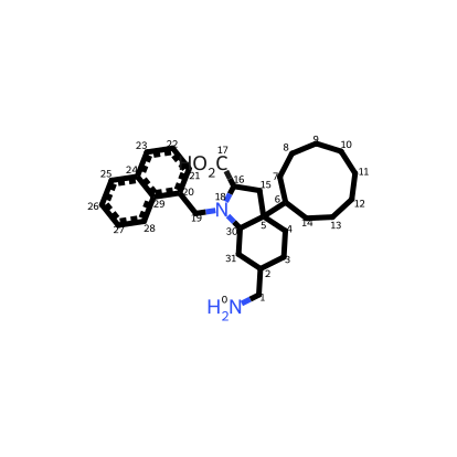 NCC1CCC2(C3CCCCCCCC3)CC(C(=O)O)N(Cc3cccc4ccccc34)C2C1